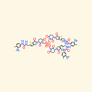 Cc1ccc(NC(=O)NCc2cc3c(s2)C(=O)N(C2CCC(=O)N(COP(=O)(OCN4C(=O)CCC(N5Cc6cc(CNC(=O)Nc7ccc(C)c(N(C)C)c7)sc6C5=O)C4=O)OCN4C(=O)CCC(N5Cc6cc(CNC(=O)Nc7ccc(C)c(N(C)C)c7)sc6C5=O)C4=O)C2=O)C3)cc1N(C)C